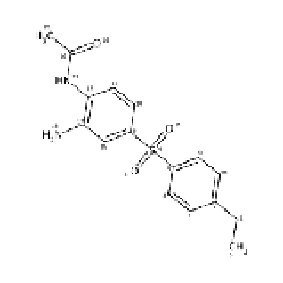 CCc1ccc(S(=O)(=O)c2ccc(NC(C)=O)c(N)c2)cc1